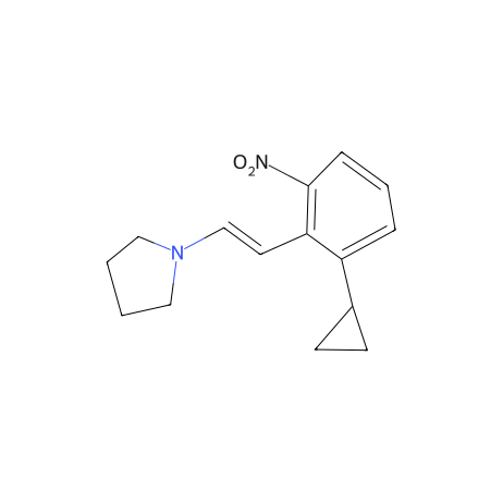 O=[N+]([O-])c1cccc(C2CC2)c1C=CN1CCCC1